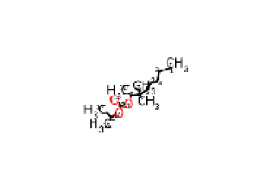 CCCCCCC(C)(C)C(C)OC(=O)OC(C)C